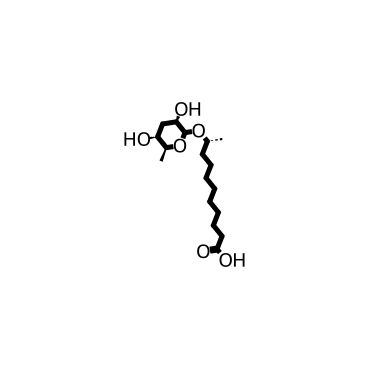 C[C@H](CCCCCCCCC(=O)O)OC1O[C@@H](C)[C@H](O)C[C@H]1O